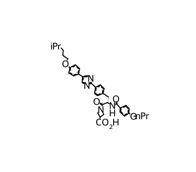 CCCOc1ccc(C(=O)N[C@@H](Cc2ccc(-c3ncc(-c4ccc(OCCCC(C)C)cc4)cn3)cc2)C(=O)N2CC(C(=O)O)C2)cc1